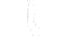 CC(O)OC(F)C(F)(F)C(F)(F)C(F)(F)C(F)(F)C(F)(F)C(F)C(F)C(F)C(F)C(F)F